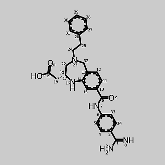 N=C(N)c1ccc(NC(=O)c2ccc3c(c2)N[C@H](CC(=O)O)CN(CCc2ccccc2)C3)cc1